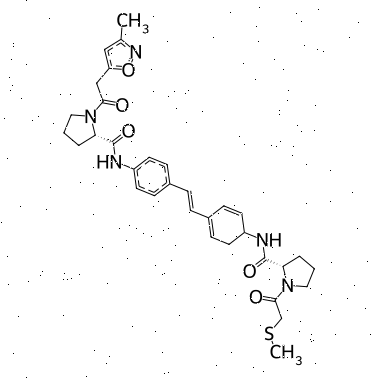 CSCC(=O)N1CCC[C@H]1C(=O)NC1C=CC(/C=C/c2ccc(NC(=O)[C@@H]3CCCN3C(=O)Cc3cc(C)no3)cc2)=CC1